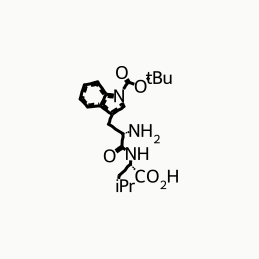 CC(C)C[C@H](NC(=O)[C@@H](N)Cc1cn(C(=O)OC(C)(C)C)c2ccccc12)C(=O)O